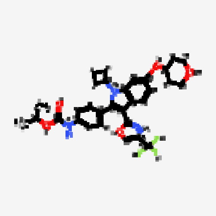 CC(C)OC(=O)Nc1ccc(-c2c(-c3nc(C(F)(F)F)co3)c3ccc(OC4CCOCC4)cc3n2C2CCC2)cc1